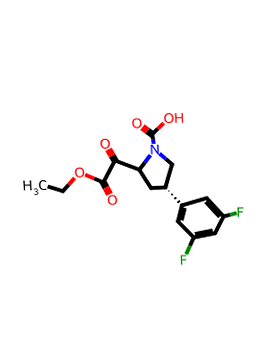 CCOC(=O)C(=O)C1C[C@@H](c2cc(F)cc(F)c2)CN1C(=O)O